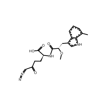 CO[C@@H](Cc1c[nH]c2c(C)cccc12)C(=O)N[C@@H](CCC(=O)C=[N+]=[N-])C(=O)O